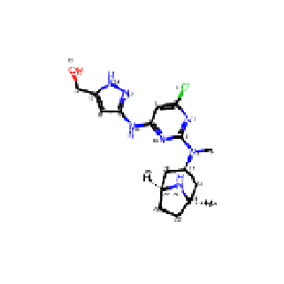 CN(c1nc(Cl)cc(Nc2cc(CO)[nH]n2)n1)[C@H]1C[C@H]2CC[C@@H](C1)N2